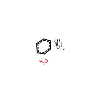 C=C.O.c1ccccc1